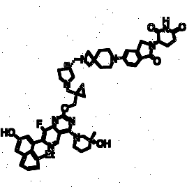 CCc1cccc2cc(O)cc(-c3ncc4c(N5CCC[C@@](C)(O)C5)nc(OCC5(CN6CC[C@H](CN7CC8(CCN(c9ccc%10c(c9)CN(C9CCC(=O)NC9=O)C%10=O)CC8)C7)C6)CC5)nc4c3F)c12